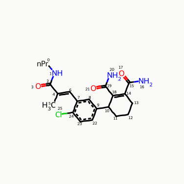 CCCNC(=O)/C(C)=C/c1cc(C2CCCC(C(N)=O)=C2C(N)=O)ccc1Cl